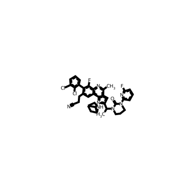 Cc1nc2c(F)c(-c3cccc(Cl)c3Cl)c(CCC#N)cc2c2c1cc(C(C)N1CCCN(c3cccc(F)n3)C1=O)n2C1C2CNC1C2